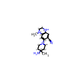 CN1CCNc2cc(C#N)c(N3CCC(C)(N)CC3)cc21